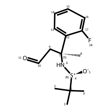 CC(C)(C)[S@+]([O-])N[C@@](C)(CC=O)c1ccccc1F